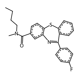 CCCCN(C)C(=O)c1ccc2c(c1)N=C(c1ccc(F)cc1)c1ccccc1S2